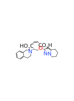 O=C(O)/C=C\C(=O)O.c1ccc2c(c1)CCN(CCOc1cc3n(n1)CCCC3)C2